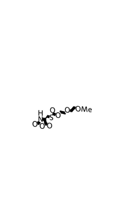 COCCOCCOC(=O)SC[C@@H]1NC(=O)OC1=O